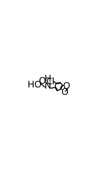 O=C(O)CNCc1cc2c(cc1Cl)OCO2